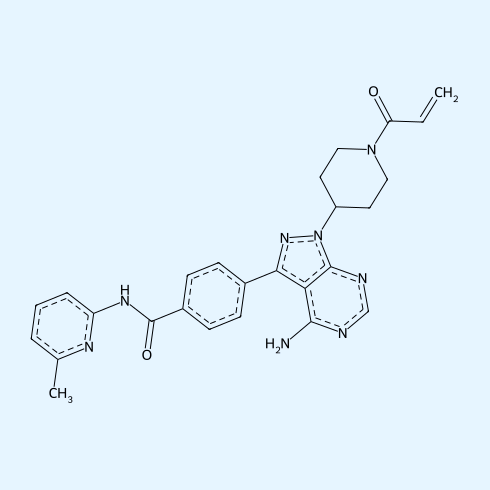 C=CC(=O)N1CCC(n2nc(-c3ccc(C(=O)Nc4cccc(C)n4)cc3)c3c(N)ncnc32)CC1